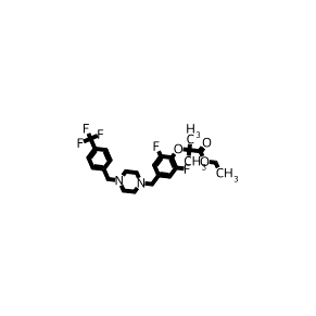 CCOC(=O)C(C)(C)Oc1c(F)cc(CN2CCN(Cc3ccc(C(F)(F)F)cc3)CC2)cc1F